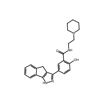 O=C(NCCN1CCCCC1)c1cc(-c2n[nH]c3c2Cc2ccccc2-3)ccc1O